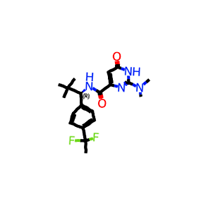 CN(C)c1nc(C(=O)N[C@@H](c2ccc(C(C)(F)F)cc2)C(C)(C)C)cc(=O)[nH]1